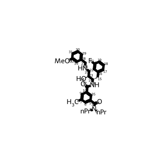 CCCN(CCC)C(=O)c1cc(C)cc(C(=O)N[C@@H](Cc2cccc(F)c2)[C@H](O)CNCc2cccc(OC)c2)c1